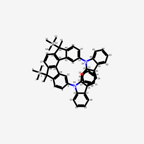 CC1([Si](C)(C)C)c2ccc(-n3c4ccccc4c4ccccc43)cc2-c2c1ccc1c2-c2cc(-n3c4ccccc4c4ccccc43)ccc2C1(C)[Si](C)(C)C